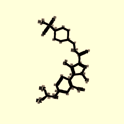 CCn1nc(C(=O)NCC2CCC(S(C)(=O)=O)CC2)c(Cl)c1-c1ccc(N[C@H](C)C(F)(F)F)cc1OC